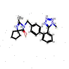 CCCCC1=NC2(CCCC2)C(=O)N1Cc1ccc(-c2ccccc2-c2nnnn2C)cc1